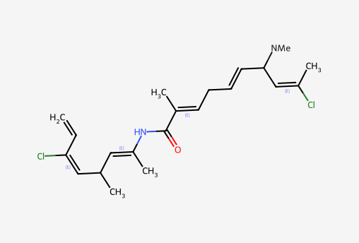 C=C/C(Cl)=C\C(C)/C=C(\C)NC(=O)/C(C)=C/CC=CC(/C=C(\C)Cl)NC